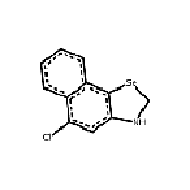 Clc1cc2c(c3ccccc13)[Se]CN2